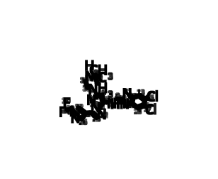 CC1(C)CN(c2cc(NCc3nc4cc(Cl)c(Cl)cc4[nH]3)c3ncc(-c4cnn(C(F)F)c4)n3n2)CCN1